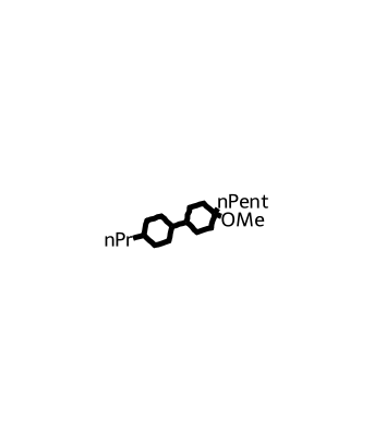 CCCCCC1(OC)CCC(C2CCC(CCC)CC2)CC1